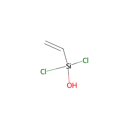 C=C[Si](O)(Cl)Cl